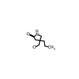 CCCC1(CCl)CNC(=O)C1